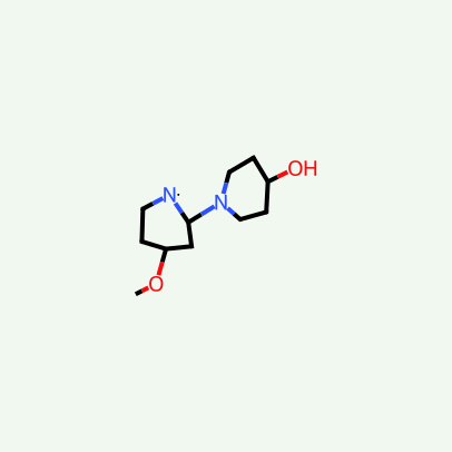 COC1CC[N]C(N2CCC(O)CC2)C1